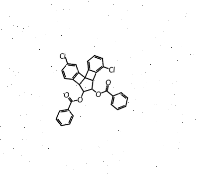 O=C(OC1C(OC(=O)c2ccccc2)C2c3c(Cl)cccc3C23c2cc(Cl)ccc2C13)c1ccccc1